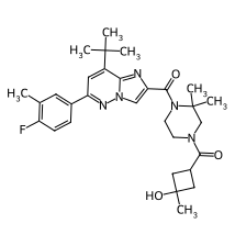 Cc1cc(-c2cc(C(C)(C)C)c3nc(C(=O)N4CCN(C(=O)C5CC(C)(O)C5)CC4(C)C)cn3n2)ccc1F